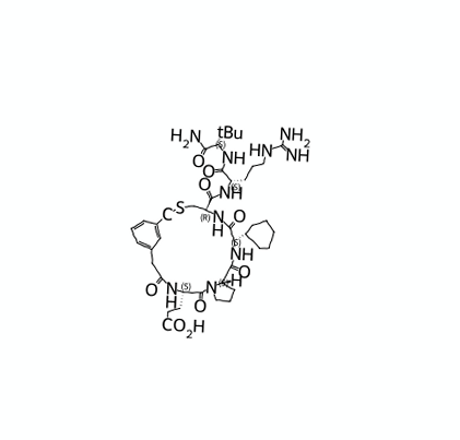 CC(C)(C)[C@H](NC(=O)[C@H](CCCNC(=N)N)NC(=O)[C@@H]1CSCc2cccc(c2)CC(=O)N[C@@H](CCC(=O)O)C(=O)N2CCC[C@H]2C(=O)N[C@@H](C2CCCCC2)C(=O)N1)C(N)=O